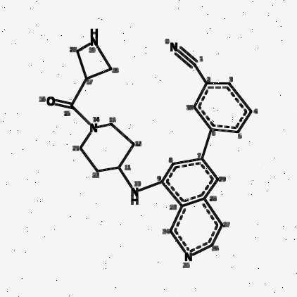 N#Cc1cccc(-c2cc(NC3CCN(C(=O)C4CNC4)CC3)c3cnccc3c2)c1